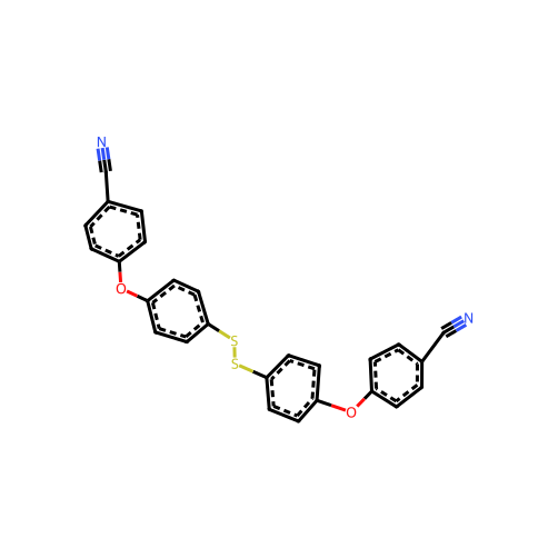 N#Cc1ccc(Oc2ccc(SSc3ccc(Oc4ccc(C#N)cc4)cc3)cc2)cc1